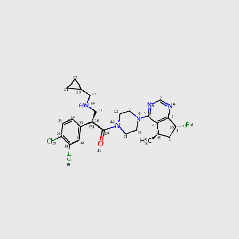 C[C@@H]1C[C@@H](F)c2ncnc(N3CCN(C(=O)[C@H](CNCC4CC4)c4ccc(Cl)c(Cl)c4)CC3)c21